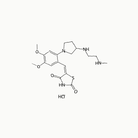 CNCCNC1CCN(c2cc(OC)c(OC)cc2C=C2SC(=O)NC2=O)C1.Cl